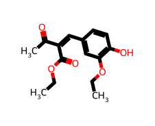 CCOC(=O)/C(=C\c1ccc(O)c(OCC)c1)C(C)=O